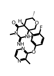 Cc1nccnc1Oc1ccc(F)c([C@]23CO[C@@H](C)C[C@H]2C(=O)N(C)C(=N)N3)c1